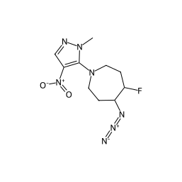 Cn1ncc([N+](=O)[O-])c1N1CCC(F)C(N=[N+]=[N-])CC1